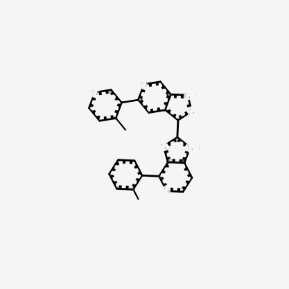 Cc1ccncc1-c1cc2c(-c3nc4c(-c5ccccc5F)nccc4[nH]3)n[nH]c2cn1